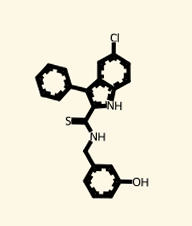 Oc1cccc(CNC(=S)c2[nH]c3ccc(Cl)cc3c2-c2ccccc2)c1